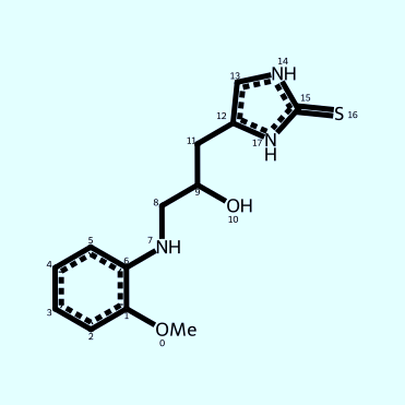 COc1ccccc1NCC(O)Cc1c[nH]c(=S)[nH]1